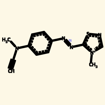 C#CN(C)c1ccc(/N=N/c2snc[n+]2C)cc1